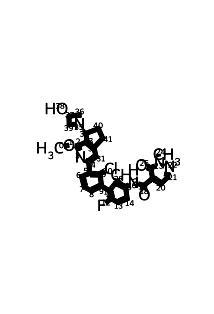 COc1nc(-c2cccc(-c3c(F)ccc(NC(=O)c4ccnn(C)c4=O)c3C)c2Cl)cc2c1[C@@H](N1CC(O)C1)CC2